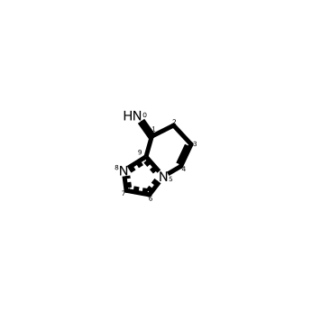 N=C1CC=Cn2ccnc21